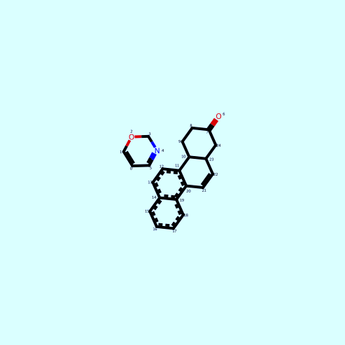 C1=COCN=C1.O=C1CCC2c3ccc4ccccc4c3C=CC2C1